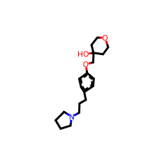 OC1(COc2ccc(CCCN3CCCC3)cc2)CCOCC1